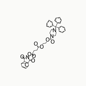 O=C(CCC(=O)ON1C(=O)C2C3C=CC(CC3)C2C1=O)OCCOC(=O)N1CCN(C(c2ccccc2)(c2ccccc2)c2ccccc2)CC1